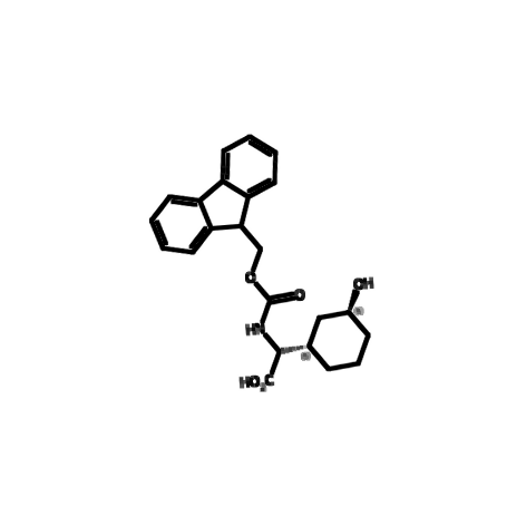 O=C(NC(C(=O)O)[C@H]1CCC[C@H](O)C1)OCC1c2ccccc2-c2ccccc21